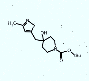 Cc1cc(CC2(O)CCN(C(=O)OC(C)(C)C)CC2)sn1